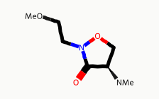 CN[C@@H]1CON(CCOC)C1=O